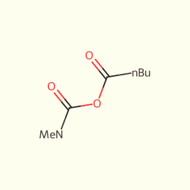 CCCCC(=O)OC(=O)NC